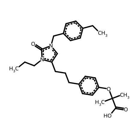 CCCn1c(CCCc2ccc(OC(C)(C)C(=O)O)cc2)cn(Cc2ccc(CC)cc2)c1=O